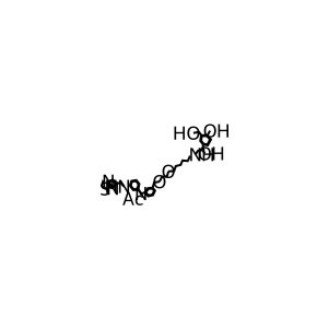 CC(=O)N(c1cccc(COCCOCCCCCCNCC(O)c2ccc(O)c(CO)c2)c1)c1cccc(NCc2cn3c(n2)SCC3)c1